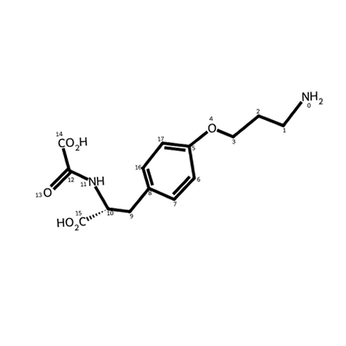 NCCCOc1ccc(C[C@@H](NC(=O)C(=O)O)C(=O)O)cc1